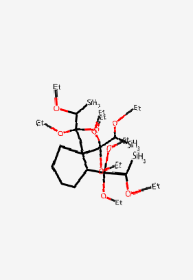 CCOC([SiH3])C(OCC)(OCC)C1CCCCC1(C(OCC)(OCC)C([SiH3])OCC)C(OCC)(OCC)C([SiH3])OCC